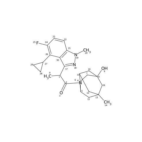 CC(C(=O)N1C2CCC3(O)CC1CC(C)(C2)C3)c1nn(C)c2ccc(F)c(C3CC3)c12